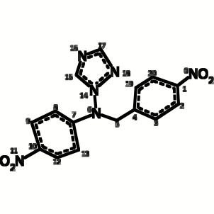 O=[N+]([O-])c1ccc(CN(c2ccc([N+](=O)[O-])cc2)n2cncn2)cc1